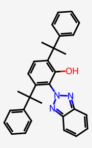 CC(C)(c1ccccc1)c1ccc(C(C)(C)c2ccccc2)c(-n2nc3ccccc3n2)c1O